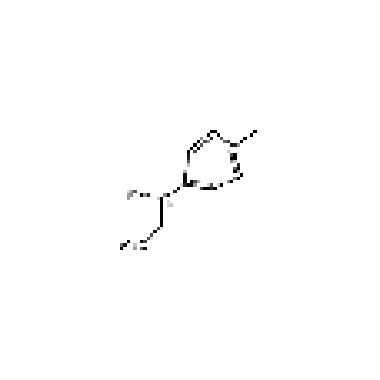 COC[C@@H](c1ccc(C)cc1)C(C)C